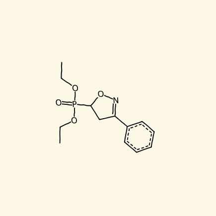 CCOP(=O)(OCC)C1CC(c2ccccc2)=NO1